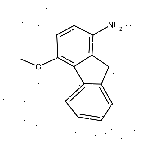 COc1ccc(N)c2c1-c1ccccc1C2